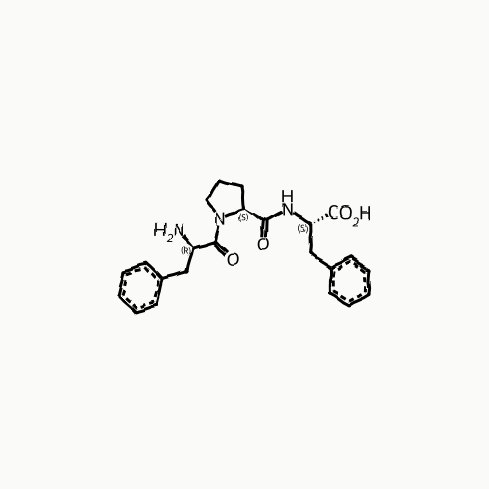 N[C@H](Cc1ccccc1)C(=O)N1CCC[C@H]1C(=O)N[C@@H](Cc1ccccc1)C(=O)O